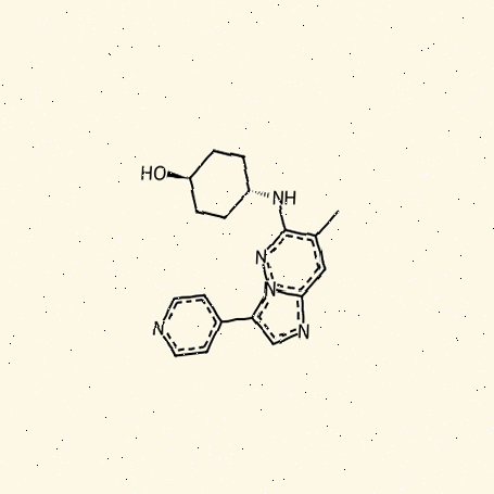 Cc1cc2ncc(-c3ccncc3)n2nc1N[C@H]1CC[C@H](O)CC1